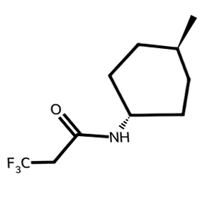 C[C@H]1CC[C@H](NC(=O)CC(F)(F)F)CC1